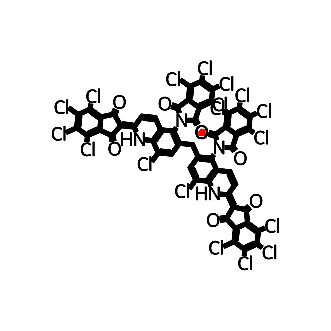 O=C1C(=C2C=Cc3c(c(Cl)cc(Cc4cc(Cl)c5c(c4N4C(=O)c6c(Cl)c(Cl)c(Cl)c(Cl)c6C4=O)C=CC(=C4C(=O)c6c(Cl)c(Cl)c(Cl)c(Cl)c6C4=O)N5)c3N3C(=O)c4c(Cl)c(Cl)c(Cl)c(Cl)c4C3=O)N2)C(=O)c2c(Cl)c(Cl)c(Cl)c(Cl)c21